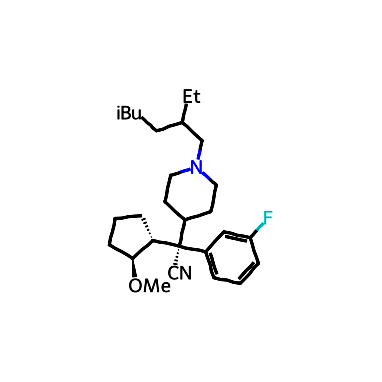 CCC(C)CC(CC)CN1CCC([C@@](C#N)(c2cccc(F)c2)[C@H]2CCC[C@@H]2OC)CC1